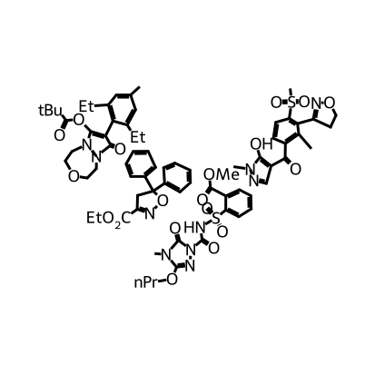 CCCOc1nn(C(=O)NS(=O)(=O)c2ccccc2C(=O)OC)c(=O)n1C.CCOC(=O)C1=NOC(c2ccccc2)(c2ccccc2)C1.CCc1cc(C)cc(CC)c1-c1c(OC(=O)C(C)(C)C)n2n(c1=O)CCOCC2.Cc1c(C(=O)c2cnn(C)c2O)ccc(S(C)(=O)=O)c1C1=NOCC1